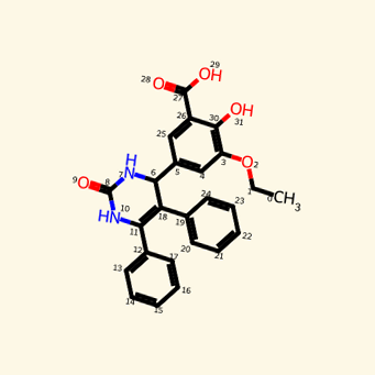 CCOc1cc(C2NC(=O)NC(c3ccccc3)=C2c2ccccc2)cc(C(=O)O)c1O